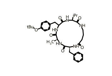 CC(C)C1NC(=O)C(Cc2ccc(OC(C)(C)C)cc2)NC(=O)[C@H](C)NC(=O)[C@H](Cc2ccccc2)NC(=O)CCCNC1=O